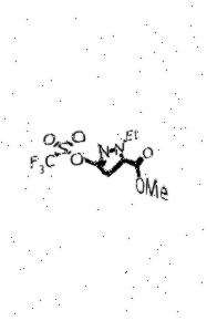 CCn1nc(OS(=O)(=O)C(F)(F)F)cc1C(=O)OC